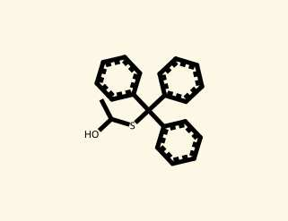 CC(O)SC(c1ccccc1)(c1ccccc1)c1ccccc1